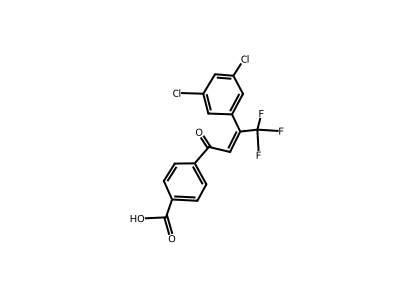 O=C(O)c1ccc(C(=O)/C=C(\c2cc(Cl)cc(Cl)c2)C(F)(F)F)cc1